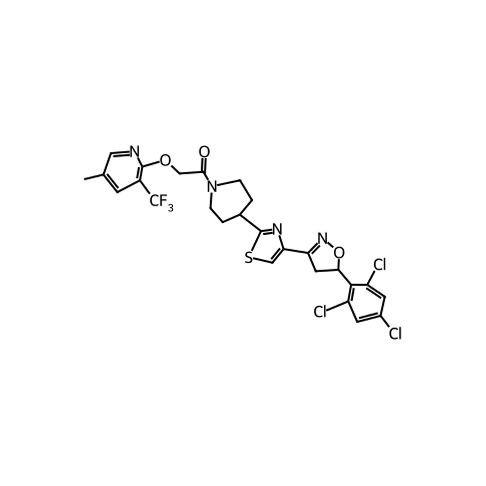 Cc1cnc(OCC(=O)N2CCC(c3nc(C4=NOC(c5c(Cl)cc(Cl)cc5Cl)C4)cs3)CC2)c(C(F)(F)F)c1